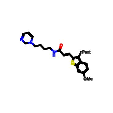 CCCCCc1c(/C=C/C(=O)NCCCCN2C=CC=NC2)sc2cc(OC)ccc12